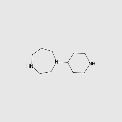 C1CNCCN(C2CCNCC2)C1